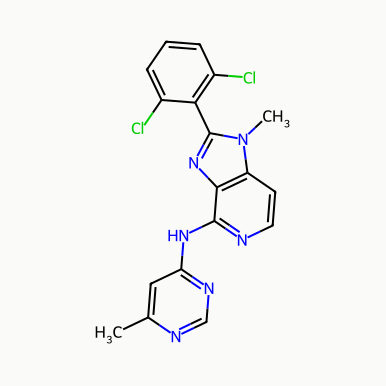 Cc1cc(Nc2nccc3c2nc(-c2c(Cl)cccc2Cl)n3C)ncn1